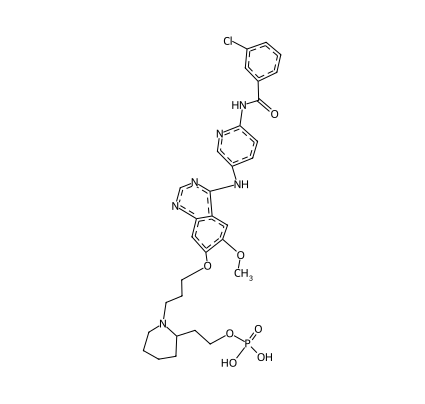 COc1cc2c(Nc3ccc(NC(=O)c4cccc(Cl)c4)nc3)ncnc2cc1OCCCN1CCCCC1CCOP(=O)(O)O